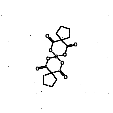 O=C1O[B-]2(OC(=O)C13CCCC3)OC(=O)C1(CCCC1)C(=O)O2